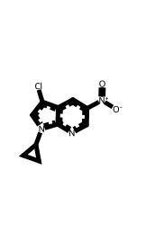 O=[N+]([O-])c1cnc2c(c1)c(Cl)cn2C1CC1